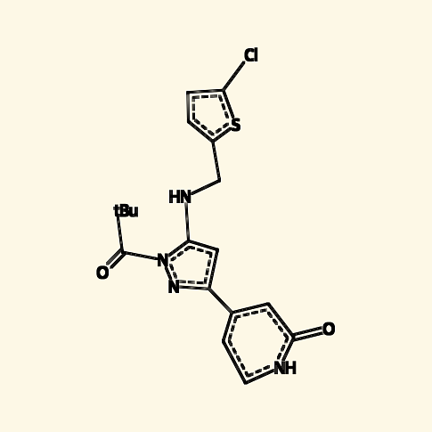 CC(C)(C)C(=O)n1nc(-c2cc[nH]c(=O)c2)cc1NCc1ccc(Cl)s1